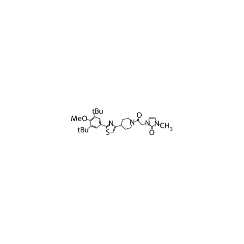 COc1c(C(C)(C)C)cc(-c2nc(C3CCN(C(=O)Cn4ccn(C)c4=O)CC3)cs2)cc1C(C)(C)C